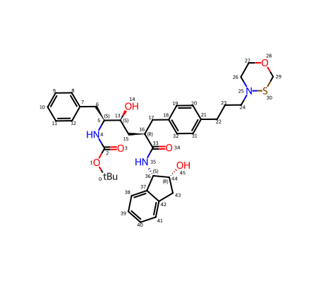 CC(C)(C)OC(=O)N[C@@H](Cc1ccccc1)[C@@H](O)C[C@@H](Cc1ccc(CCCN2CCOCS2)cc1)C(=O)N[C@H]1c2ccccc2C[C@H]1O